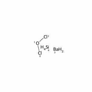 ClOCl.[BaH2].[SiH4]